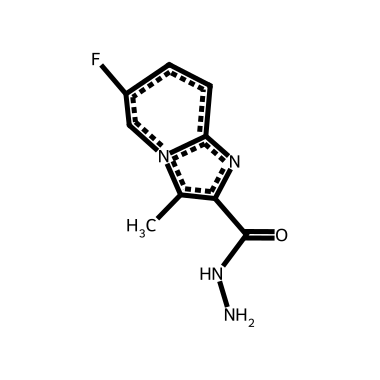 Cc1c(C(=O)NN)nc2ccc(F)cn12